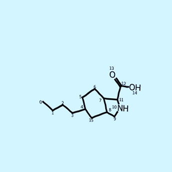 CCCCC1CCC2C(CNC2C(=O)O)C1